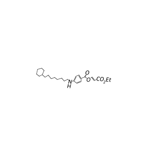 CCOC(=O)/C=C/OC(=O)c1ccc(NCCCCCCCCC2CCCCC2)cc1